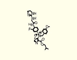 COc1ccc(CN(c2scnc2C(=O)OCC(C)C)S(=O)(=O)c2ccc(NC(=O)CNC3=NCCN3)c(F)c2)cc1